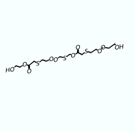 O=C(CSCCOOCSCOC(=O)CSCCOOCCO)OCCO